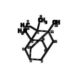 CC1(C)C2(N)CC3CC(C2)CC1(O)C3